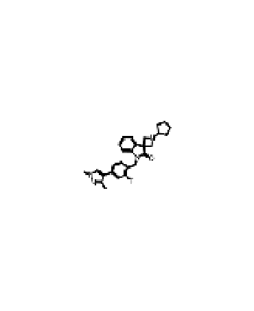 Cc1nn(C)cc1-c1ccc(CN2C(=O)C3(CN(C4CCCC4)C3)c3ccccc32)c(F)c1